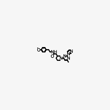 COc1ccc(CCNC(=O)CC2CCCN(c3cc(C)nc(-n4ccnc4)n3)C2)cc1